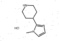 Cl.Cn1ccnc1C1CCNCC1